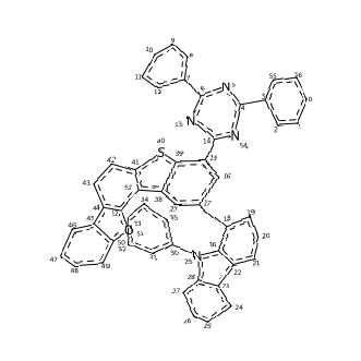 c1ccc(-c2nc(-c3ccccc3)nc(-c3cc(-c4cccc5c6ccccc6n(-c6ccccc6)c45)cc4c3sc3ccc5c6ccccc6oc5c34)n2)cc1